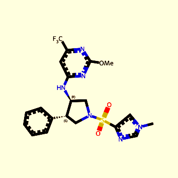 COc1nc(N[C@H]2CN(S(=O)(=O)c3cn(C)cn3)C[C@@H]2c2ccccc2)cc(C(F)(F)F)n1